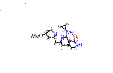 COc1ccnc(Cc2cc3cc[nH]c(=O)c3c(NC3CC3)n2)c1